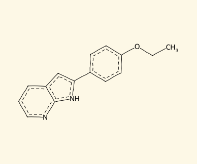 CCOc1ccc(-c2cc3cccnc3[nH]2)cc1